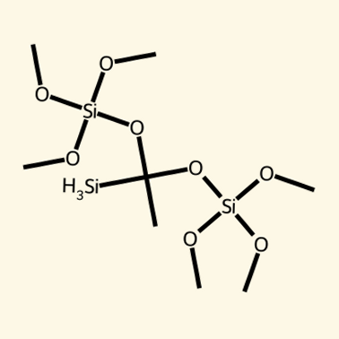 CO[Si](OC)(OC)OC(C)([SiH3])O[Si](OC)(OC)OC